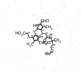 Cc1c(C=O)[nH]c(Cc2[nH]c(C=O)c(C)c2CCC(=O)NC(C)(C)CCOC(C)(C)C)c1CCC(=O)O